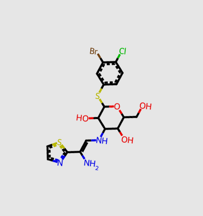 N/C(=C\NC1C(O)C(CO)OC(Sc2ccc(Cl)c(Br)c2)C1O)c1nccs1